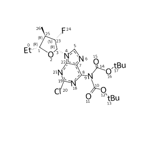 CC[C@H]1O[C@@H](n2cnc3c(N(C(=O)OC(C)(C)C)C(=O)OC(C)(C)C)nc(Cl)nc32)[C@@H](F)[C@@H]1C